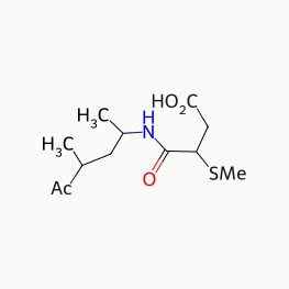 CSC(CC(=O)O)C(=O)NC(C)CC(C)C(C)=O